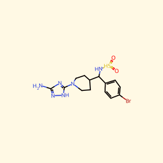 Nc1n[nH]c(N2CCC(C(N[SH](=O)=O)c3ccc(Br)cc3)CC2)n1